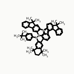 CC(C)(C)c1ccc(N2B3c4cc5c(cc4-n4c6ccc7c(c6c6ccc(c3c64)-c3cc4c(cc32)C(C)(C)CCC4(C)C)-c2ccccc2C7(C)C)C(C)(C)c2ccccc2-5)cc1